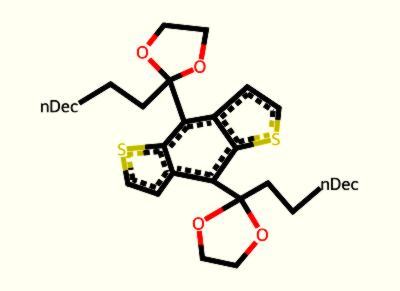 CCCCCCCCCCCCC1(c2c3ccsc3c(C3(CCCCCCCCCCCC)OCCO3)c3ccsc23)OCCO1